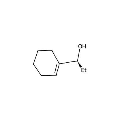 CC[C@H](O)C1=CCCCC1